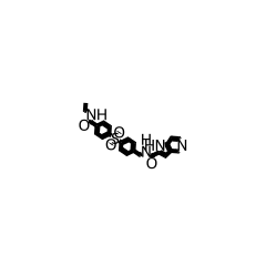 CCNC(=O)c1ccc(S(=O)(=O)c2ccc(CNC(=O)c3cc4cnccc4[nH]3)cc2)cc1